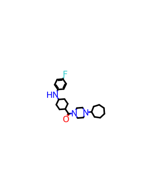 O=C(C1CCC(Nc2ccc(F)cc2)CC1)N1CCN(C2CCCCCC2)CC1